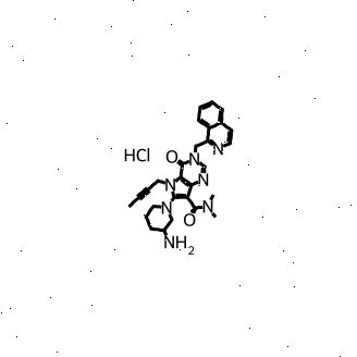 CC#CCn1c(N2CCCC(N)C2)c(C(=O)N(C)C)c2ncn(Cc3nccc4ccccc34)c(=O)c21.Cl